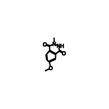 COc1ccc2c(=O)n(C)[nH]c(=O)c2c1